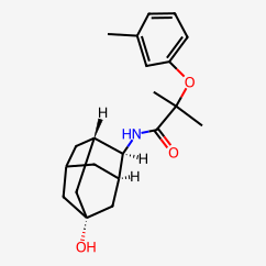 Cc1cccc(OC(C)(C)C(=O)N[C@H]2[C@@H]3CC4C[C@H]2C[C@](O)(C4)C3)c1